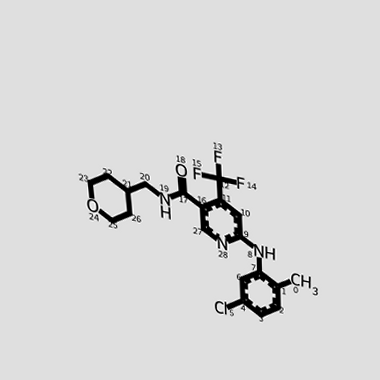 Cc1ccc(Cl)cc1Nc1cc(C(F)(F)F)c(C(=O)NCC2CCOCC2)cn1